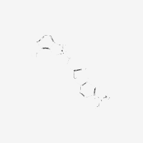 O=C(OCc1nc2cccc(Cl)c2s1)Oc1ccc([N+](=O)[O-])cc1